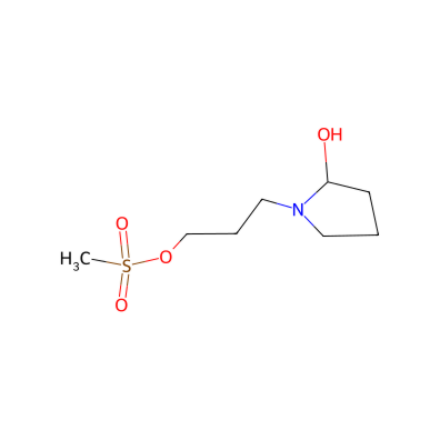 CS(=O)(=O)OCCCN1CCCC1O